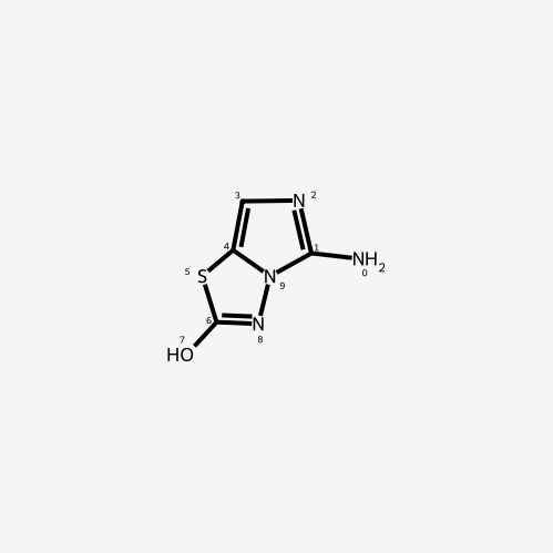 Nc1ncc2sc(O)nn12